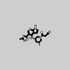 Cc1noc(-c2cnc3[nH]ccc3c2N[C@@H]2C[C@H](C)CN(C(=O)CC#N)C2)n1